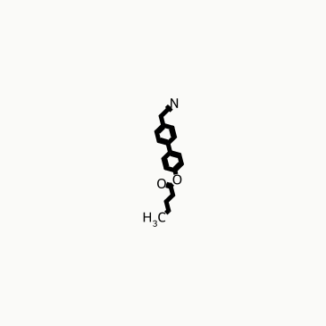 CCCCC(=O)Oc1ccc(-c2ccc(CC#N)cc2)cc1